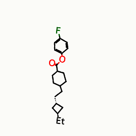 CC[C@H]1C[C@H](CCC2CCC(C(=O)Oc3ccc(F)cc3)CC2)C1